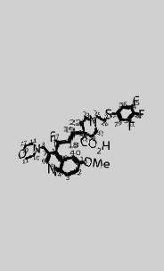 COc1ccc2ncc(CN3CCOCC3)c([C@@H](F)CCC3(C(=O)O)CCN(CCSc4cc(F)c(F)c(F)c4)CC3)c2c1